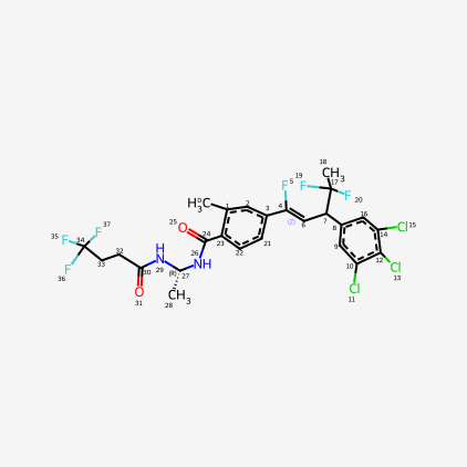 Cc1cc(/C(F)=C/C(c2cc(Cl)c(Cl)c(Cl)c2)C(C)(F)F)ccc1C(=O)N[C@H](C)NC(=O)CCC(F)(F)F